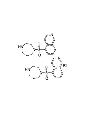 Cl.O=S(=O)(c1cccc2cnccc12)N1CCCNCC1.O=S(=O)(c1cccc2cnccc12)N1CCCNCC1